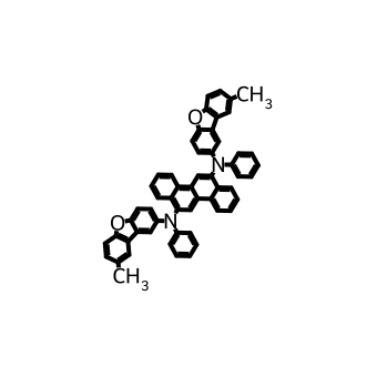 Cc1ccc2oc3ccc(N(c4ccccc4)c4cc5c6ccccc6c(N(c6ccccc6)c6ccc7oc8ccc(C)cc8c7c6)cc5c5ccccc45)cc3c2c1